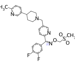 Cc1ccc(C2CCN(Cc3ccc(/C(=N\OCS(C)(=O)=O)c4ccc(F)c(F)c4)nc3)CC2)cn1